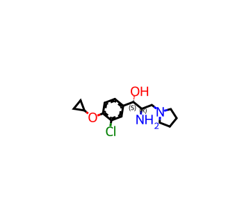 N[C@H](CN1CCCC1)[C@@H](O)c1ccc(OC2CC2)c(Cl)c1